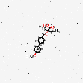 CCC(CC)(OCc1ccc(C23CCC(OC)(CC2)CC3)cc1)C(=O)O